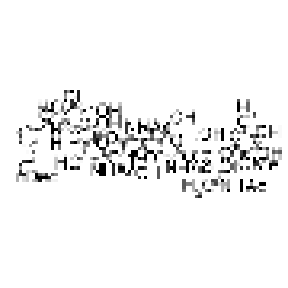 CCCCCCCCCCCOc1cccc(C(=O)N[C@@H]2C(O[C@H]3C(O)C(NC(C)=O)[C@H](OC4C(CO)O[C@@H](O[C@H]5C(O)C(NC(C)=O)C(OC(CO)C(CO[C@@H]6OC(C)C(O)[C@H](O)[C@H]6OC)OC(O)[C@H](C)NC(C)=O)O[C@H]5CO)[C@@H](NC(C)=O)[C@H]4O)O[C@H]3CO)OC(CO)[C@@H](O)[C@@H]2O)c1